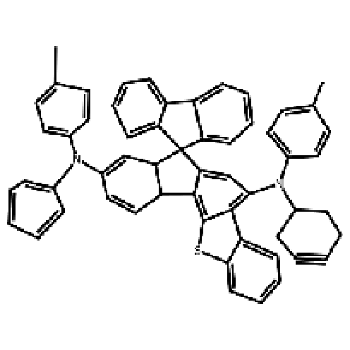 Cc1ccc(N(C2=CC3C(C=C2)c2c(cc(N(c4ccc(C)cc4)C4CC#CCC4)c4c2sc2ccccc24)C32c3ccccc3-c3ccccc32)c2ccccc2)cc1